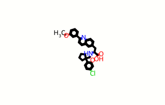 COc1cccc(-c2ccc3cc(CC(NC(=O)C4(c5ccc(Cl)cc5)CCCC4)C(=O)O)ccc3n2)c1